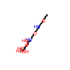 CCCCCOCCCCNCCCCOCCCCNCC(O)COCCC[Si](O)(O)O